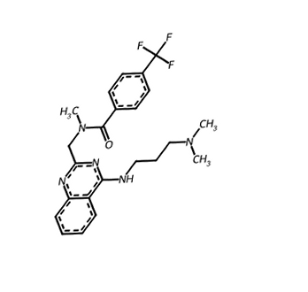 CN(C)CCCNc1nc(CN(C)C(=O)c2ccc(C(F)(F)F)cc2)nc2ccccc12